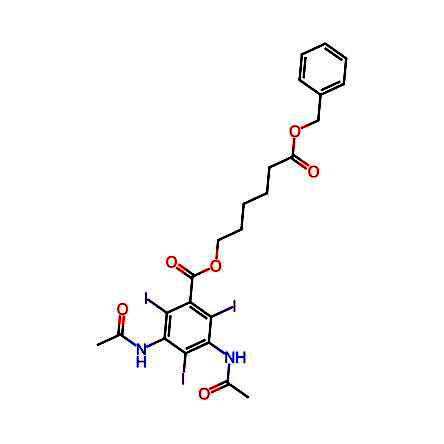 CC(=O)Nc1c(I)c(NC(C)=O)c(I)c(C(=O)OCCCCCC(=O)OCc2ccccc2)c1I